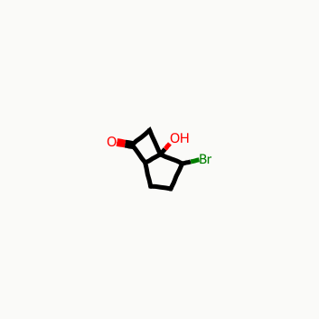 O=C1CC2(O)C(Br)CCC12